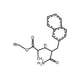 CC(NC(Cc1ccc2ccccc2c1)C(N)=O)C(=O)OC(C)(C)C